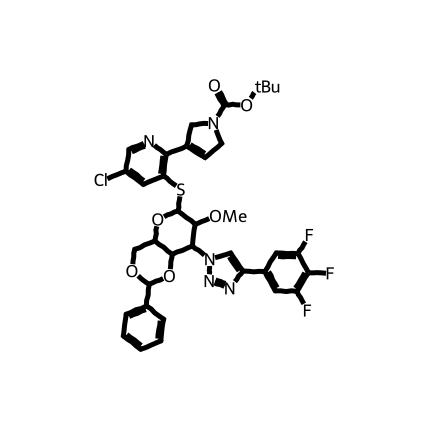 COC1C(Sc2cc(Cl)cnc2C2=CCN(C(=O)OC(C)(C)C)C2)OC2COC(c3ccccc3)OC2C1n1cc(-c2cc(F)c(F)c(F)c2)nn1